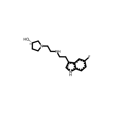 O[C@H]1CCN(CCNCCc2c[nH]c3ccc(F)cc23)C1